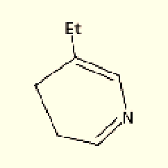 CCC1=CN=CCC1